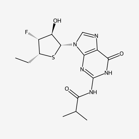 CC[C@H]1S[C@@H](n2cnc3c(=O)[nH]c(NC(=O)C(C)C)nc32)[C@H](O)[C@H]1F